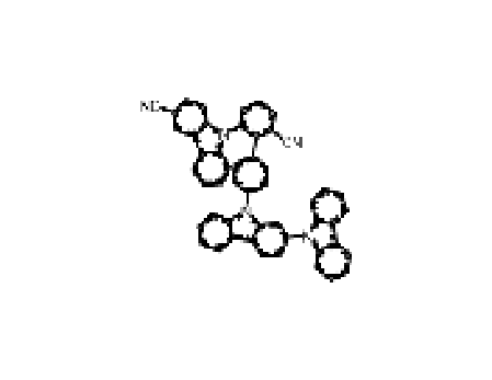 N#Cc1ccc2c(c1)c1ccccc1n2-c1cccc(C#N)c1-c1ccc(-n2c3ccccc3c3ccc(-n4c5ccccc5c5ccccc54)cc32)cc1